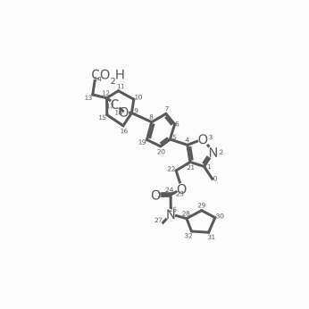 Cc1noc(-c2ccc(C34CCC(CC(=O)O)(CC3)CO4)cc2)c1COC(=O)N(C)C1CCCC1